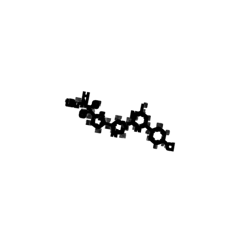 Cc1cc(-c2ccc(Cl)cc2)nc(-n2cnc(-c3ccc(S(=O)(=O)NC(C)(C)C)s3)c2)n1